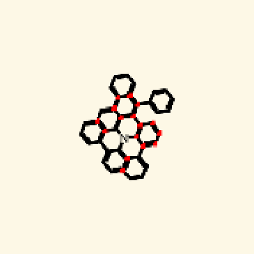 c1ccc(-c2ccccc2N(c2c(-c3ccccc3)cccc2-c2ccccc2)c2cccc3c2c(-c2ccccc2)c(-c2ccccc2)c2ccccc23)cc1